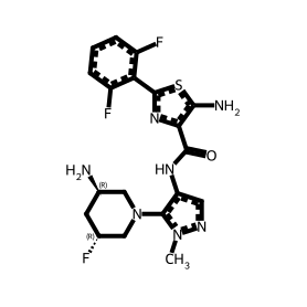 Cn1ncc(NC(=O)c2nc(-c3c(F)cccc3F)sc2N)c1N1C[C@H](N)C[C@@H](F)C1